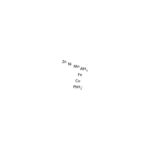 [AlH3].[Cu].[Fe].[Mn].[Ni].[PbH2].[Zn]